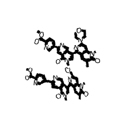 COC(=O)c1ccc(-c2cc3c(=O)n(C)cc(-c4nc(Cl)cc5c4cc(C)c(=O)n5C)c3cn2)cn1.COC(=O)c1ccc(-c2cc3c(=O)n(C)cc(-c4nc(N5CCOCC5)cc5c4cc(C)c(=O)n5C)c3cn2)cn1